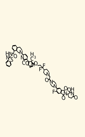 Cc1c(OCCC(F)(F)C2CCN(CC(=O)N3CCN(c4cc5c(cc4F)C(=O)N(C4CCC(=O)NC4=O)C5=O)CC3)CC2)cccc1-c1ccc(N2CCc3cccc(C(=O)Nc4nc5ccccc5s4)c3C2)nc1C(=O)O